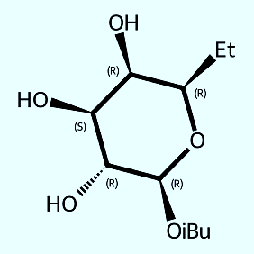 CC[C@H]1O[C@@H](OCC(C)C)[C@H](O)[C@@H](O)[C@H]1O